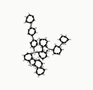 c1ccc(-c2ccc(-c3ccc(N(c4cccc5oc6c7ccccc7ccc6c45)c4cccc5c4c4ccccc4n5-c4cccc(-c5ccccc5)c4)cc3)cc2)cc1